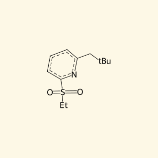 CCS(=O)(=O)c1cccc(CC(C)(C)C)n1